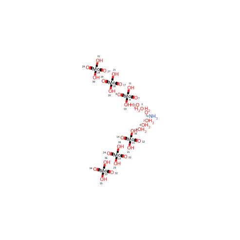 N.O.O.O.O.O.O.[O]=[Mo](=[O])([OH])[OH].[O]=[Mo](=[O])([OH])[OH].[O]=[Mo](=[O])([OH])[OH].[O]=[Mo](=[O])([OH])[OH].[O]=[Mo](=[O])([OH])[OH].[O]=[Mo](=[O])([OH])[OH]